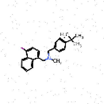 CN(Cc1ccc(C(C)(C)C)cc1)Cc1ccc(I)c2ccccc12